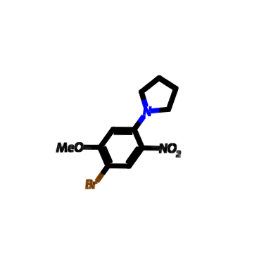 COc1cc(N2CCCC2)c([N+](=O)[O-])cc1Br